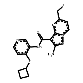 Nc1nn2ccc(CF)nc2c1C(=O)Nc1cnccc1OC1CCC1